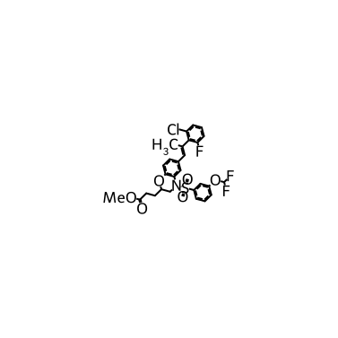 COC(=O)CCC1CN(S(=O)(=O)c2cccc(OC(F)F)c2)c2cc(/C=C(\C)c3c(F)cccc3Cl)ccc2O1